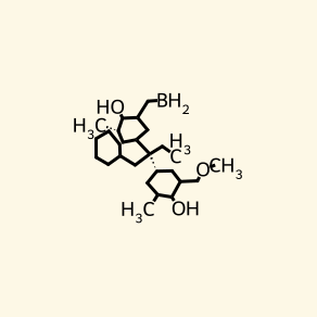 BCC1CC(C(CC)(CC2CCCCC2)[C@H]2CC(C)C(O)C(COC)C2)C[C@H](C)C1O